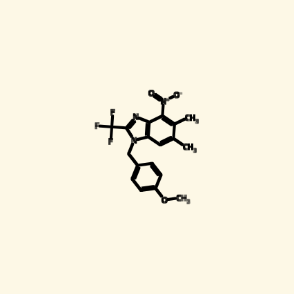 COc1ccc(Cn2c(C(F)(F)F)nc3c([N+](=O)[O-])c(C)c(C)cc32)cc1